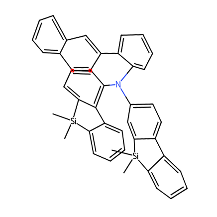 C[Si]1(C)c2ccccc2-c2ccc(N(c3ccccc3-c3ccc4ccccc4c3)c3cccc4c3-c3ccccc3[Si]4(C)C)cc21